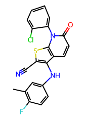 Cc1cc(Nc2c(C#N)sc3c2ccc(=O)n3-c2ccccc2Cl)ccc1F